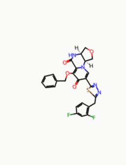 O=C1N[C@H]2COC[C@H]2n2cc(-c3nnc(Cc4ccc(F)cc4F)s3)c(=O)c(OCc3ccccc3)c21